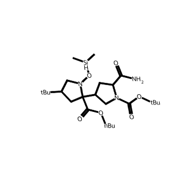 CCCCOC(=O)C1(C2CC(C(N)=O)N(C(=O)OC(C)(C)C)C2)CC(C(C)(C)C)CN1O[SiH](C)C